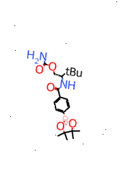 CC(C)(C)C(COC(N)=O)NC(=O)c1ccc(B2OC(C)(C)C(C)(C)O2)cc1